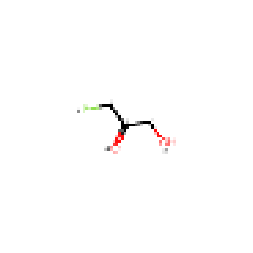 O=C(CO)CF